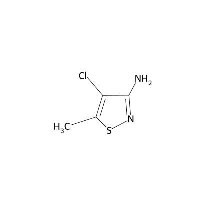 Cc1snc(N)c1Cl